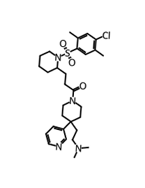 Cc1cc(S(=O)(=O)N2CCCCC2CCC(=O)N2CCC(CCN(C)C)(c3cccnc3)CC2)c(C)cc1Cl